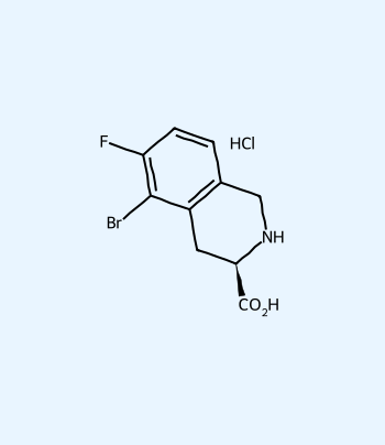 Cl.O=C(O)[C@H]1Cc2c(ccc(F)c2Br)CN1